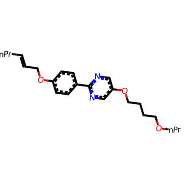 CCC/C=C/COc1ccc(-c2ncc(OCCCCOCCC)cn2)cc1